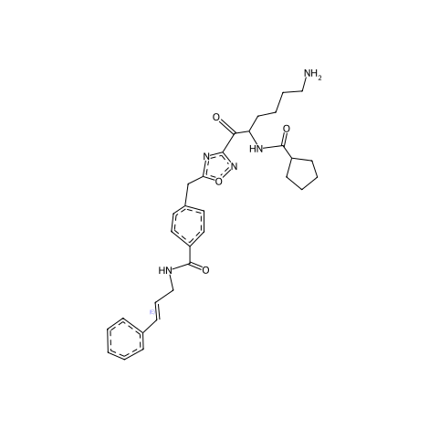 NCCCCC(NC(=O)C1CCCC1)C(=O)c1noc(Cc2ccc(C(=O)NC/C=C/c3ccccc3)cc2)n1